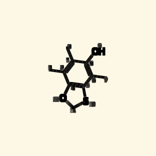 Cc1c(C)c2c(c(C)c1O)SCO2